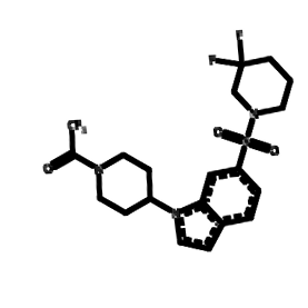 O=C(N1CCC(n2ccc3ccc(S(=O)(=O)N4CCCC(F)(F)C4)cc32)CC1)C(F)(F)F